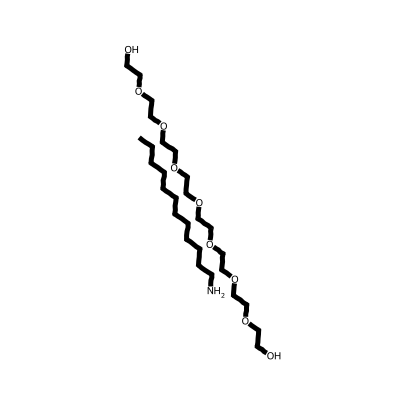 CCCCCCCCCCCCN.OCCOCCOCCOCCOCCOCCOCCOCCO